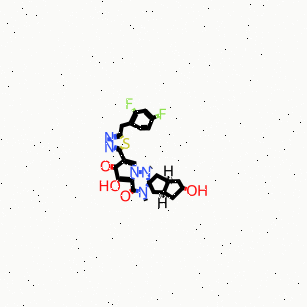 CN1C(=O)c2c(O)c(=O)c(-c3nnc(Cc4ccc(F)cc4F)s3)cn2N(C)C12C[C@H]1CC(O)C[C@H]1C2